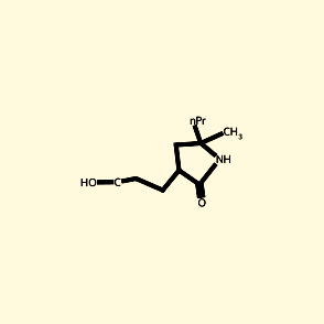 CCCC1(C)CC(CCCO)C(=O)N1